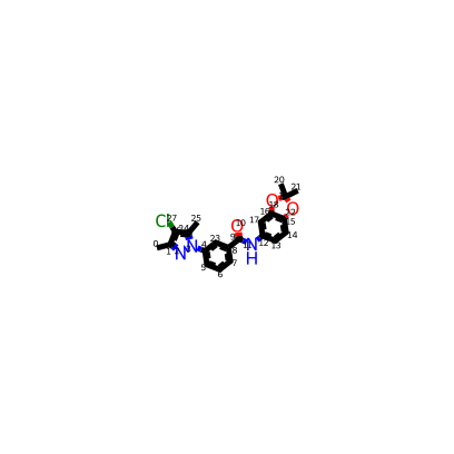 Cc1nn(-c2cccc(C(=O)Nc3ccc4c(c3)OC(C)(C)O4)c2)c(C)c1Cl